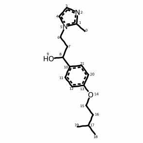 Cc1nccn1CCC(O)c1ccc(OCCC(C)C)cc1